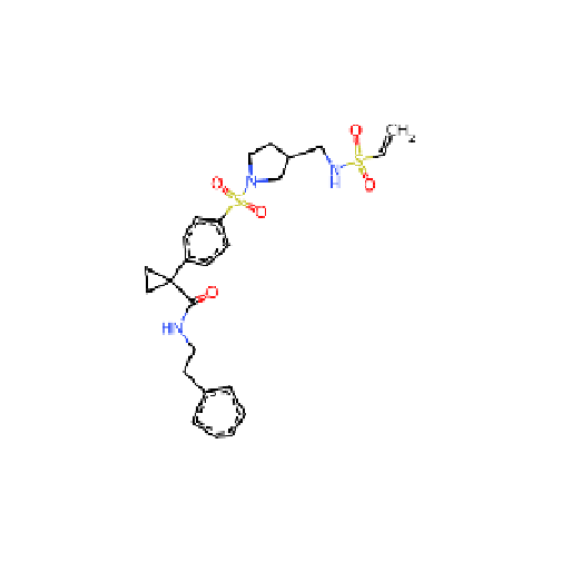 C=CS(=O)(=O)NCC1CCN(S(=O)(=O)c2ccc(C3(C(=O)NCCc4ccccc4)CC3)cc2)C1